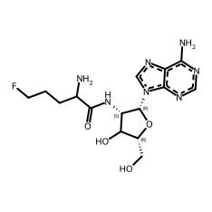 Nc1ncnc2c1ncn2[C@@H]1O[C@H](CO)C(O)[C@@H]1NC(=O)C(N)CCCF